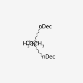 CCCCCCCCCCCCCCCCCC[N+](C)(C)CCCCCCCCCCCCCCCCC.[Cl-]